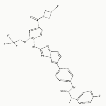 CC(C(=O)Nc1ccc(-c2ccc3nc(Nc4ccc(C(=O)N5CC(F)C5)cc4OCC(F)(F)F)nn3c2)cc1)c1ccc(F)cc1